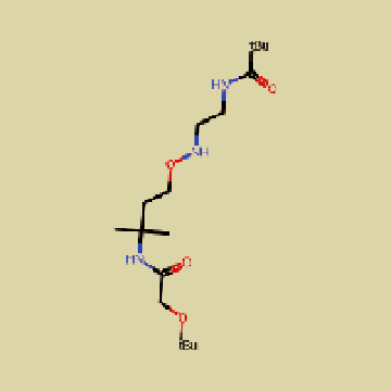 CC(C)(CCONCCNC(=O)C(C)(C)C)NC(=O)COC(C)(C)C